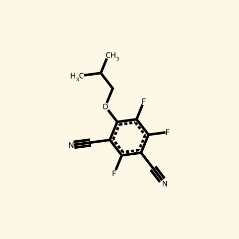 CC(C)COc1c(F)c(F)c(C#N)c(F)c1C#N